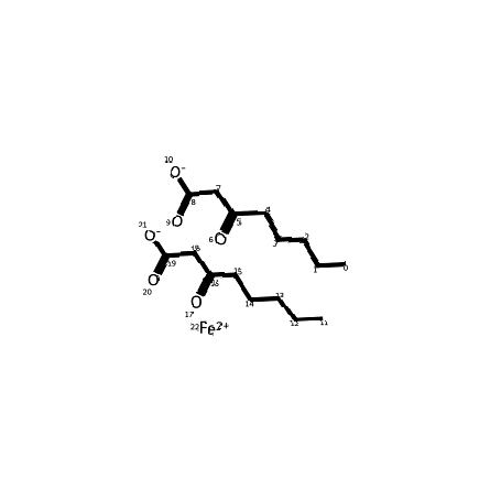 CCCCCC(=O)CC(=O)[O-].CCCCCC(=O)CC(=O)[O-].[Fe+2]